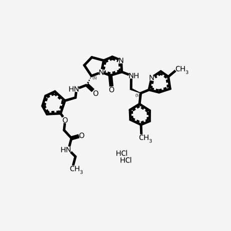 CCNC(=O)COc1ccccc1CNC(=O)[C@@H]1CCc2cnc(NC[C@H](c3ccc(C)cc3)c3ccc(C)cn3)c(=O)n21.Cl.Cl